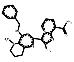 Cc1nc2c(C(N)=O)cccn2c1-c1nc2c(c(NCc3ccccc3)n1)N(C)CCC2